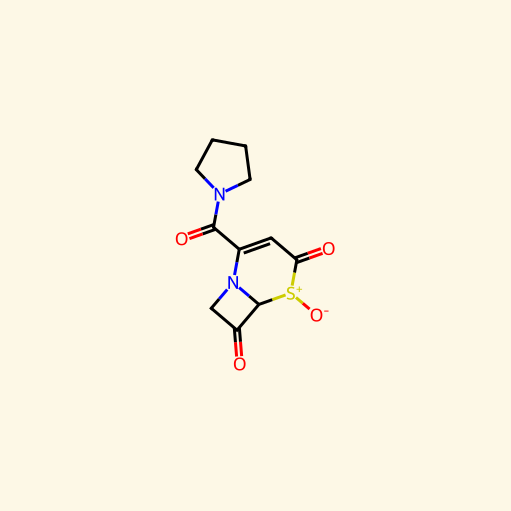 O=C1CN2C(C(=O)N3CCCC3)=CC(=O)[S+]([O-])C12